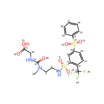 CN(CCNS(=O)(=O)c1cc(S(=O)(=O)c2ccccc2)ccc1C(F)(F)F)C(=O)NCC(=O)O